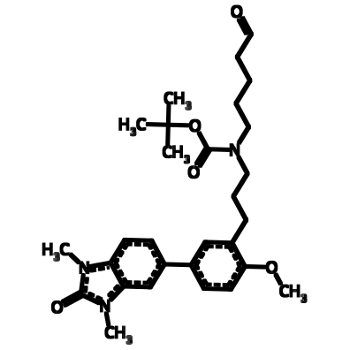 COc1ccc(-c2ccc3c(c2)n(C)c(=O)n3C)cc1CCCN(CCCCC=O)C(=O)OC(C)(C)C